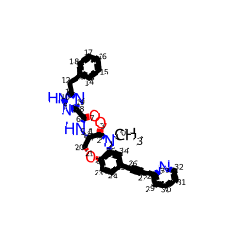 CN1C(=O)[C@@H](NC(=O)c2n[nH]c(Cc3ccccc3)n2)COc2ccc(C#Cc3ccccn3)cc21